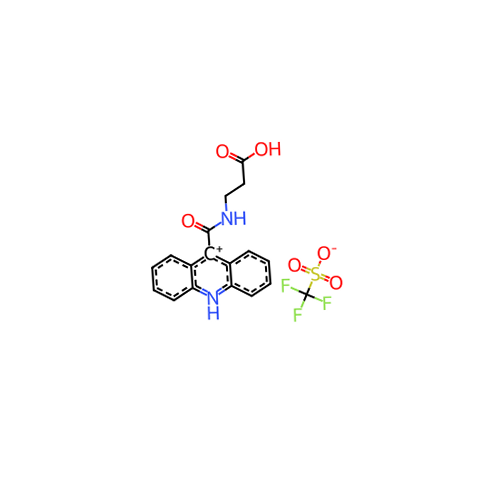 O=C(O)CCNC(=O)[c+]1c2ccccc2[nH]c2ccccc21.O=S(=O)([O-])C(F)(F)F